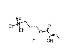 CC=C(O)C(=O)OCCC[N+](CC)(CC)CC.[I-]